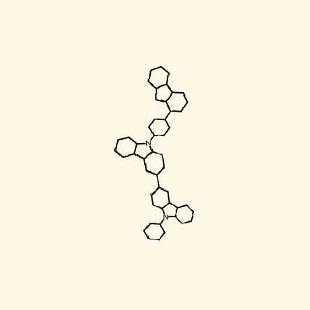 C1CCC(N2C3CCCCC3C3CC(C4CCC5C(C4)C4CCCCC4N5C4CCC(C5CCCC6C7CCCCC7CC56)CC4)CCC32)CC1